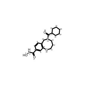 O=C(NO)c1ccc2c(c1)OCCCN(C(=O)C1CCCCC1)C2